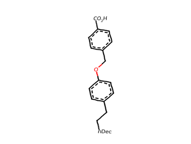 CCCCCCCCCCCCc1ccc(OCc2ccc(C(=O)O)cc2)cc1